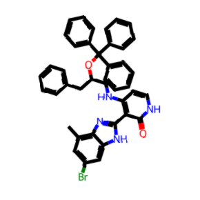 Cc1cc(Br)cc2[nH]c(-c3c(NCC(Cc4ccccc4)OC(c4ccccc4)(c4ccccc4)c4ccccc4)cc[nH]c3=O)nc12